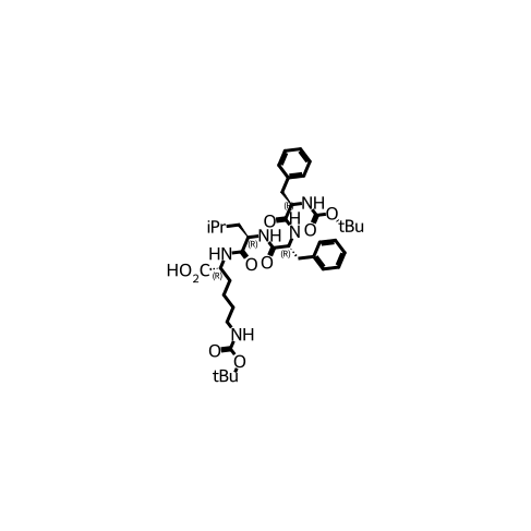 CC(C)C[C@@H](NC(=O)[C@@H](Cc1ccccc1)NC(=O)[C@@H](Cc1ccccc1)NC(=O)OC(C)(C)C)C(=O)N[C@H](CCCCNC(=O)OC(C)(C)C)C(=O)O